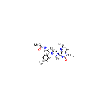 CCC1CN(C(CCNC(=O)OC)c2ccc(C(F)(F)F)cc2)[C@H](CC)CN1c1nc(=O)n(C)c2ccc(C#N)nc12